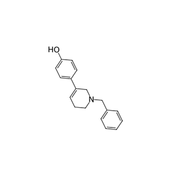 Oc1ccc(C2=CCCN(Cc3ccccc3)C2)cc1